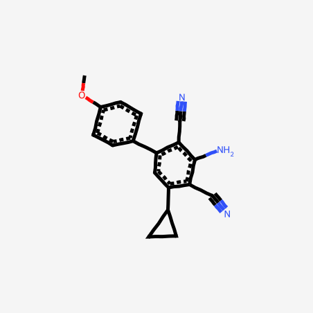 COc1ccc(-c2cc(C3CC3)c(C#N)c(N)c2C#N)cc1